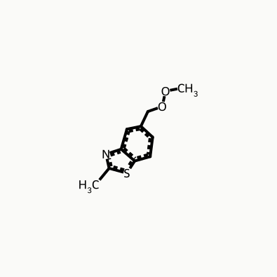 COOCc1ccc2sc(C)nc2c1